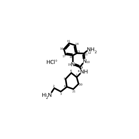 Cl.NCCC1CCC(Nc2nc(N)c3ccccc3n2)CC1